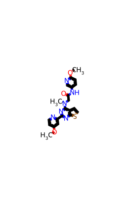 COc1ccnc(-c2nc(N(C)CC(=O)Nc3ccc(OC)nc3)c3ccsc3n2)c1